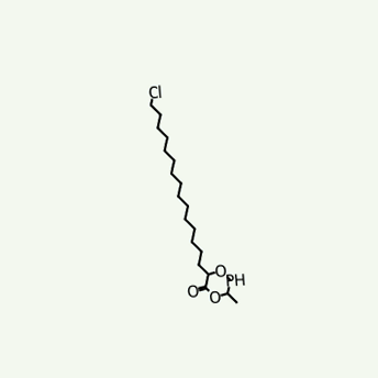 CC1OC(=O)C(CCCCCCCCCCCCCCCCl)OP1